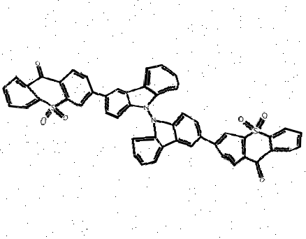 O=C1c2ccccc2S(=O)(=O)c2cc(-c3ccc4c(c3)c3ccccc3n4-n3c4ccccc4c4cc(-c5ccc6c(c5)S(=O)(=O)c5ccccc5C6=O)ccc43)ccc21